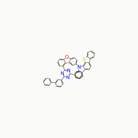 c1ccc(-c2cccc(-c3nc(-c4ccccc4)nc(-c4cccc5oc6ccc(-n7c8ccccc8c8ccc9c%10ccccc%10sc9c87)cc6c45)n3)c2)cc1